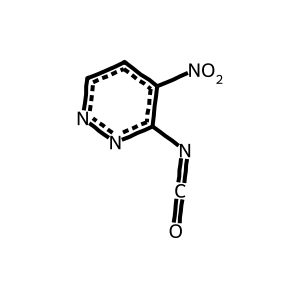 O=C=Nc1nnccc1[N+](=O)[O-]